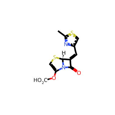 Cc1nc(/C=C2/C(=O)N3C(OC(=O)O)=CS[C@@H]23)cs1